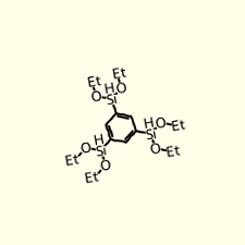 CCO[SiH](OCC)c1cc([SiH](OCC)OCC)cc([SiH](OCC)OCC)c1